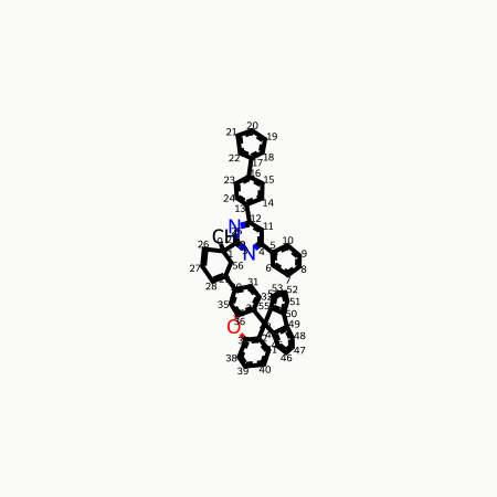 CC1(c2nc(-c3ccccc3)cc(-c3ccc(-c4ccccc4)cc3)n2)C=CC=C(c2ccc3c(c2)Oc2ccccc2C32c3ccccc3-c3ccccc32)C1